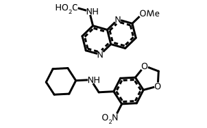 COc1ccc2nccc(NC(=O)O)c2n1.O=[N+]([O-])c1cc2c(cc1CNC1CCCCC1)OCO2